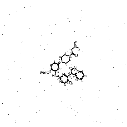 COc1ccc(N2CCN(C(=O)CN(C)C)CC2)cc1Nc1ncc(C)c(-c2cnn3ccccc23)n1